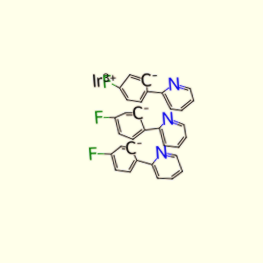 Fc1c[c-]c(-c2ccccn2)cc1.Fc1c[c-]c(-c2ccccn2)cc1.Fc1c[c-]c(-c2ccccn2)cc1.[Ir+3]